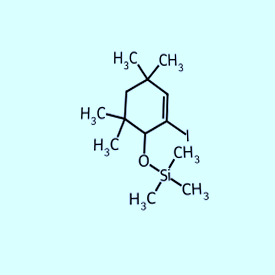 CC1(C)C=C(I)C(O[Si](C)(C)C)C(C)(C)C1